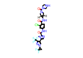 Cn1c(-c2cn(C3CC3(F)F)nc2C(F)(F)F)cnc1C(=O)Nc1ccc(C(=O)N[C@H]2[C@@H]3CN(C(=O)N4CCNCC4)C[C@@H]32)c(Cl)c1